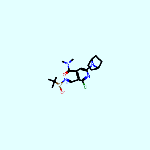 CN(C)C(=O)c1cc(N2C3CCC2CC3)nc(Cl)c1/C=N/[S+]([O-])C(C)(C)C